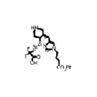 CCOC(=O)CCCn1cc(/C=C2/CNCCC2SC(C)=O)nn1.O=C(O)C(F)(F)F